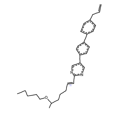 C=CCc1ccc(-c2ccc(-c3cnc(/C=C/CCCC(C)OCCCCC)nc3)cc2)cc1